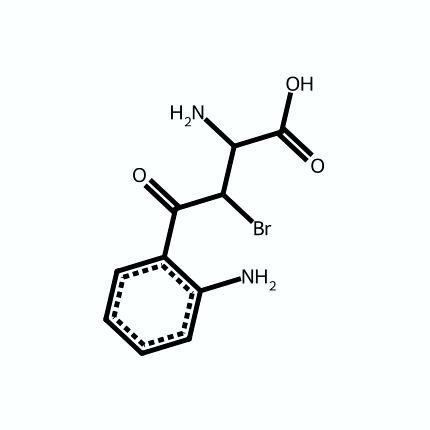 Nc1ccccc1C(=O)C(Br)C(N)C(=O)O